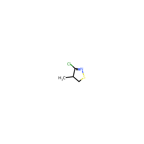 CC1CSN=C1Cl